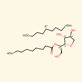 CCCCCCCCCCCCCCCCCC(=O)O[C@H](CO)[C@H]1OC[C@H](O)[C@H]1O.CCCCCCCCCCCCCCCCCC(=O)[O-].[K+]